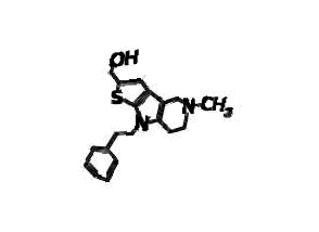 CN1CCc2c(c3cc(CO)sc3n2CCc2ccccc2)C1